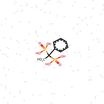 O=C(O)C(c1ccccc1)(P(=O)(O)O)P(=O)(O)O